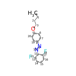 CCCCOc1ccc(N=Nc2c(F)cccc2F)cc1